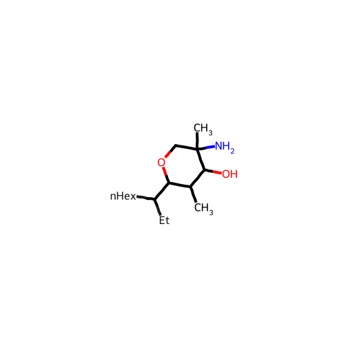 CCCCCCC(CC)C1OCC(C)(N)C(O)C1C